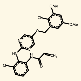 C=CC(=O)Nc1cccc(Cl)c1Nc1ncc(OCc2cc(OC)cc(OC)c2Cl)cn1